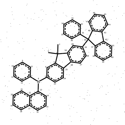 CC1(C)c2cc(N(c3ccccc3)c3cccc4ccccc34)ccc2-c2ccc(C3(c4ccccc4)c4ccccc4-c4ccccc43)cc21